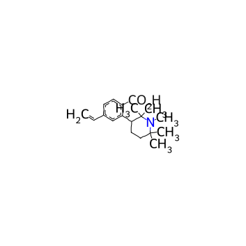 C=Cc1ccc(C(=O)O)c(C2CCC(C)(C)N(C)C2(C)C)c1